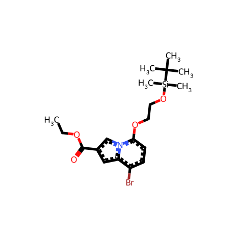 CCOC(=O)c1cc2c(Br)ccc(OCCO[Si](C)(C)C(C)(C)C)n2c1